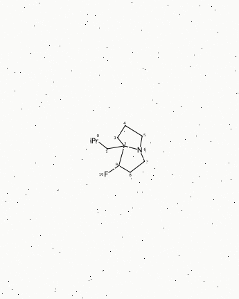 CC(C)CC12CCCN1CCC2F